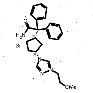 COCC[n+]1cn([C@@H]2CC[C@H](C(C(N)=O)(c3ccccc3)c3ccccc3)C2)cn1.[Br-]